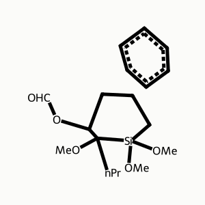 CCCC1(OC)C(OC=O)CCC[Si]1(OC)OC.c1ccccc1